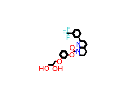 O=C(Oc1cccc(OCC(O)CO)c1)N1CCCc2ccc(-c3cccc(C(F)(F)F)c3)nc21